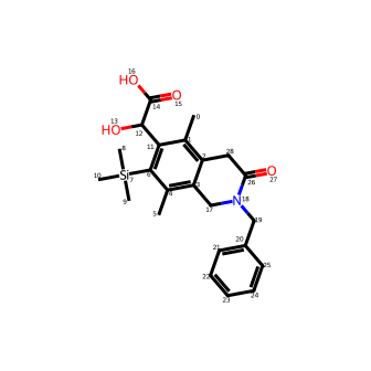 Cc1c2c(c(C)c([Si](C)(C)C)c1C(O)C(=O)O)CN(Cc1ccccc1)C(=O)C2